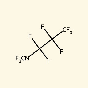 FC(F)(F)NC(F)(F)C(F)(F)C(F)(F)F